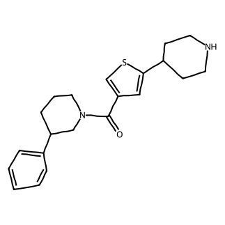 O=C(c1csc(C2CCNCC2)c1)N1CCCC(c2ccccc2)C1